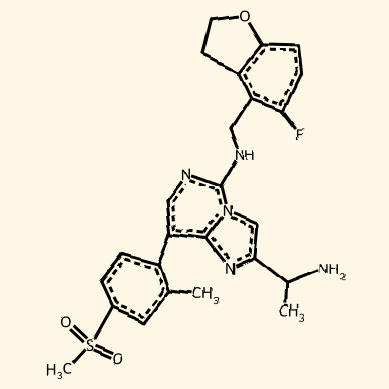 Cc1cc(S(C)(=O)=O)ccc1-c1cnc(NCc2c(F)ccc3c2CCO3)n2cc(C(C)N)nc12